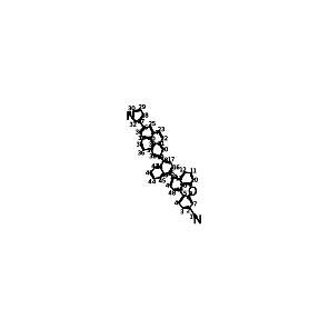 N#Cc1ccc2c(c1)Oc1cccc3c(-c4ccc(-c5cc6ccc7cc(-c8cccnc8)cc8ccc(c5)c6c78)c5ccccc45)ccc-2c13